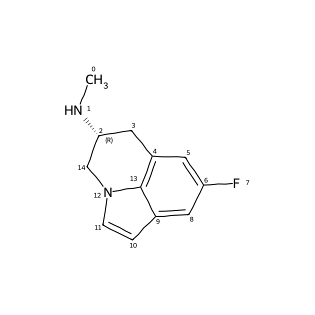 CN[C@@H]1Cc2cc(F)cc3ccn(c23)C1